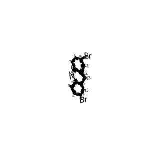 Brc1ccc2nc3ccc(Br)cc3cc2c1